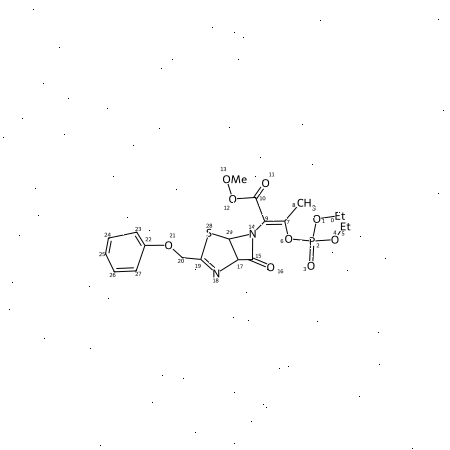 CCOP(=O)(OCC)OC(C)=C(C(=O)OOC)N1C(=O)C2N=C(COc3ccccc3)SC21